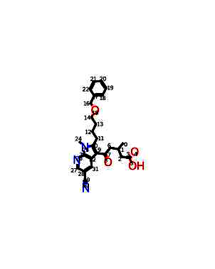 CC(CC(=O)O)CC(=O)c1c(CCCCOCc2ccccc2)n(C)c2ncc(C#N)cc12